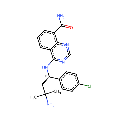 CC(C)(N)C[C@@H](Nc1ncnc2c(C(N)=O)cccc12)c1ccc(Cl)cc1